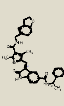 Cc1[nH]c(/C=C2\C(=O)Nc3ccc(C(=O)N[C@H](C)c4ccccc4)cc32)c(C)c1C(=O)NCc1ccc2c(c1)CCO2